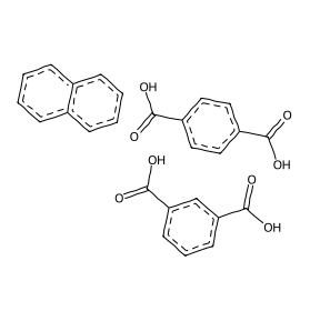 O=C(O)c1ccc(C(=O)O)cc1.O=C(O)c1cccc(C(=O)O)c1.c1ccc2ccccc2c1